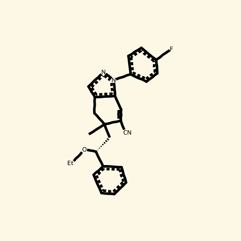 CCO[C@H](CC1(C)Cc2cnn(-c3ccc(F)cc3)c2C=C1C#N)c1ccccc1